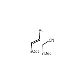 CCCCCCCCC=CC(C)=O.CCCCCCCCCCCC#N